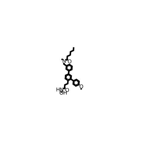 CCCCCC(=O)N(C)Cc1cccc(-c2ccc(CCC(=O)NO)c(-c3ccc(OC)cc3)c2)c1